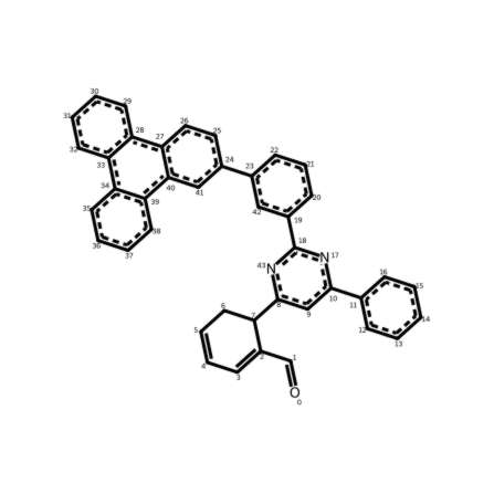 O=CC1=CC=CCC1c1cc(-c2ccccc2)nc(-c2cccc(-c3ccc4c5ccccc5c5ccccc5c4c3)c2)n1